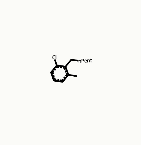 CCCCCCc1c(C)cccc1Cl